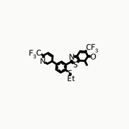 CCSc1ccc(C2C=CC(C(F)(F)F)=NC2)cc1-c1nc2c(s1)C(C)C(=O)C(C(F)(F)F)=C2